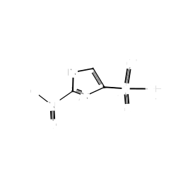 O=[N+]([O-])c1nc(S(=O)(=O)O)c[nH]1